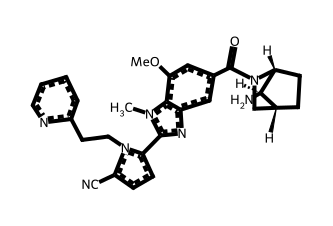 COc1cc(C(=O)N2C[C@H]3CC[C@@H]2[C@@H]3N)cc2nc(-c3ccc(C#N)n3CCc3ccccn3)n(C)c12